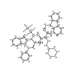 CC(C)(C)[Si](C)(C)OC(c1nc2ccccc2o1)[C@H](CCc1ccccc1)NC(=O)N(CCC1CCCCC1)C(=O)OCC1c2ccccc2-c2ccccc21